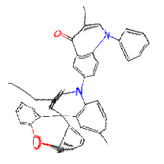 Cc1ccc2c(c1)C1(c3ccccc3Oc3ccccc31)c1cc(C)ccc1N2c1ccc2c(c1)c(=O)c(C)cn2-c1ccccc1